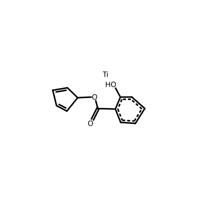 O=C(OC1C=CC=C1)c1ccccc1O.[Ti]